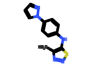 O=C(O)c1nnsc1Nc1ccc(-n2cccn2)cc1